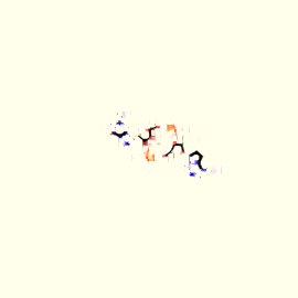 Nc1nc2c(ncn2[C@@H]2O[C@@H]3COP(=O)(O)O[C@H]4[C@@H](O)[C@H](c5ccc6c(N)ncnn56)O[C@@H]4COP(=O)(O)O[C@@H]2[C@@H]3O)c(=O)[nH]1